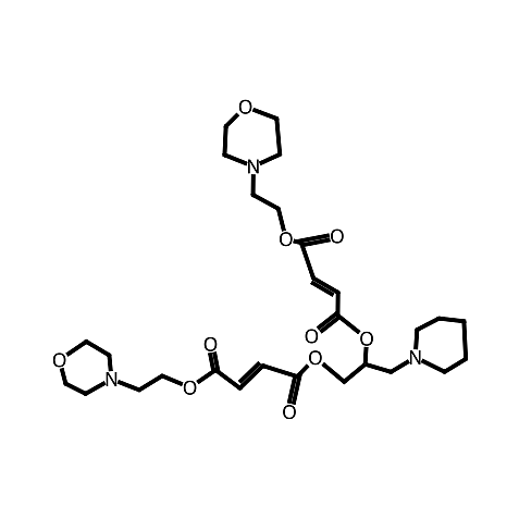 O=C(/C=C/C(=O)OCC(CN1CCCCC1)OC(=O)/C=C/C(=O)OCCN1CCOCC1)OCCN1CCOCC1